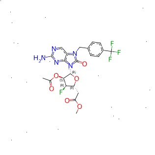 COC(=O)C[C@H]1O[C@@H](n2c(=O)n(Cc3ccc(C(F)(F)F)cc3)c3cnc(N)nc32)[C@H](OC(C)=O)[C@@H]1F